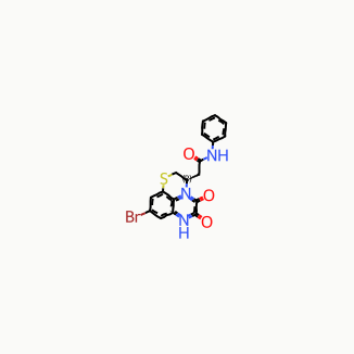 O=C(C[C@@H]1CSc2cc(Br)cc3[nH]c(=O)c(=O)n1c23)Nc1ccccc1